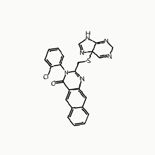 O=c1c2cc3ccccc3cc2nc(CSC23C=NCN=C2NC=N3)n1-c1ccccc1Cl